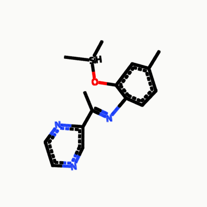 CC(=Nc1ccc(C)cc1O[SiH](C)C)c1cnccn1